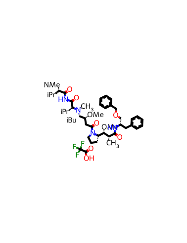 CC[C@H](C)[C@@H]([C@@H](CC(=O)N1CCC[C@H]1[C@H](OC)[C@@H](C)C(=O)N[C@H](COCc1ccccc1)Cc1ccccc1)OC)N(C)[C@H](C(=O)NC(=O)[C@@H](NC)C(C)C)C(C)C.O=C(O)C(F)(F)F